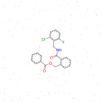 O=C(OCc1ccccc1C(=O)NCc1c(F)cccc1Cl)c1ccccc1